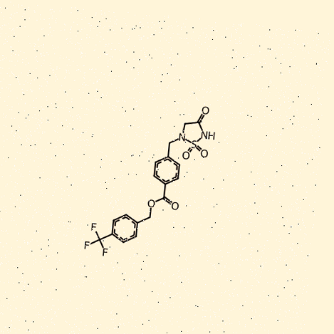 O=C1CN(Cc2ccc(C(=O)OCc3ccc(C(F)(F)F)cc3)cc2)S(=O)(=O)N1